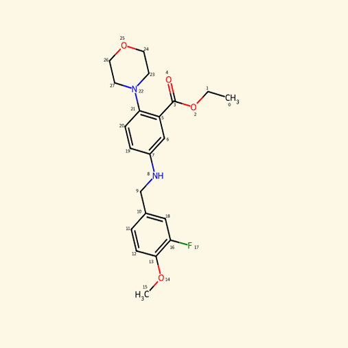 CCOC(=O)c1cc(NCc2ccc(OC)c(F)c2)ccc1N1CCOCC1